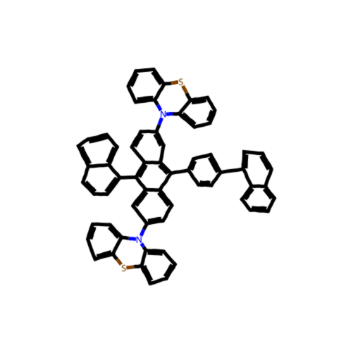 c1ccc2c(c1)Sc1ccccc1N2c1ccc2c(-c3cccc4ccccc34)c3cc(N4c5ccccc5Sc5ccccc54)ccc3c(-c3ccc(-c4cccc5ccccc45)cc3)c2c1